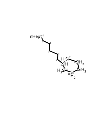 CCCCCCCCCCCC[SiH]1[SiH2][SiH2][SiH2][SiH2][SiH2]1